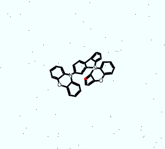 c1ccc2c(c1)Oc1ccccc1N2c1ccc2c(c1)[Si]1(c3ccccc3Oc3ccccc31)c1ccccc1-2